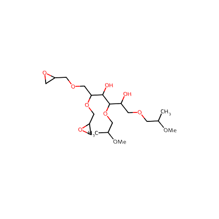 COC(C)COCC(O)C(OCC(C)OC)C(O)C(COCC1CO1)OCC1CO1